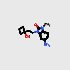 Cn1c(=O)n(CCC2(O)CCC2)c2cc(N)ccc21